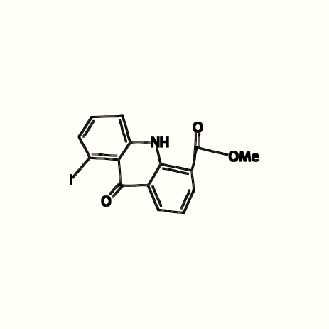 COC(=O)c1cccc2c(=O)c3c(I)cccc3[nH]c12